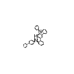 c1ccc(-c2ccc(Nc3ccccc3-c3ccc4c(c3)c3ccccc3n4-c3ccccc3)cc2)cc1